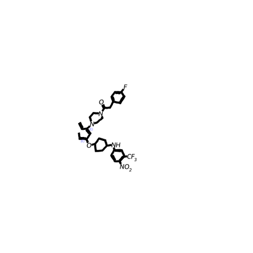 C=C/C(=C\C(=C/C)OC1CCC(Nc2ccc([N+](=O)[O-])c(C(F)(F)F)c2)CC1)N1CCN(C(=O)Cc2ccc(F)cc2)CC1